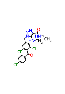 CCNC(=O)c1nnn(Cc2cc(Cl)c(C(=O)c3ccc(Cl)cc3)c(Cl)c2)c1NC